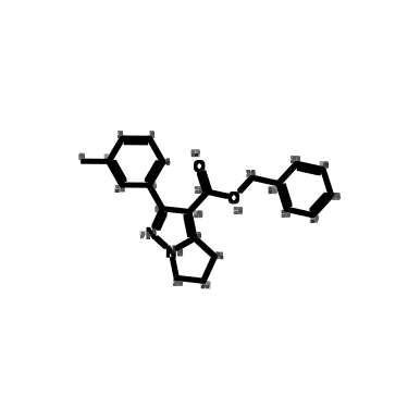 Cc1cccc(-c2nn3c(c2C(=O)OCc2ccccc2)CCC3)c1